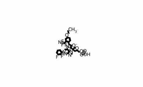 CCCOc1ccc(-c2cc(C(CCCOS(=O)(=O)O)(C(=O)[O-])n3cnc4c3C=CN(c3cccc(F)c3F)N4)on2)c(C(F)(F)F)c1.[Na+]